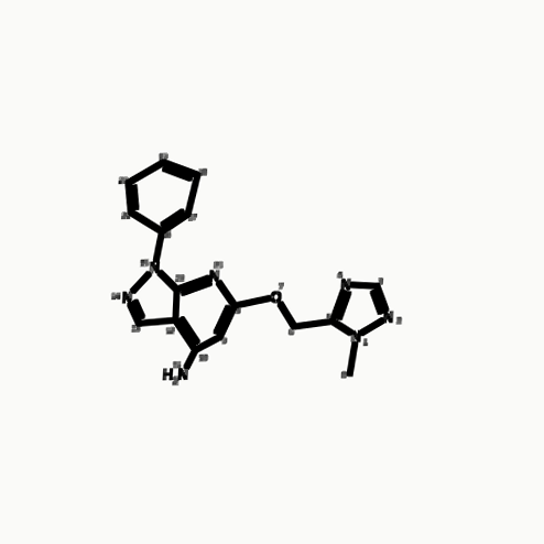 Cn1ncnc1COc1cc(N)c2cnn(-c3ccccc3)c2n1